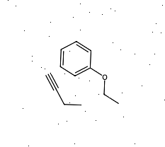 C#CCC.CCOc1ccccc1